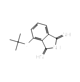 CC(C)(C)Sc1cccc2c1C(=N)NC2=N